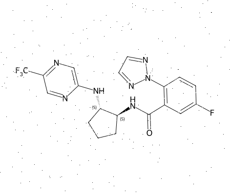 O=C(N[C@H]1CCC[C@@H]1Nc1cnc(C(F)(F)F)cn1)c1cc(F)ccc1-n1nccn1